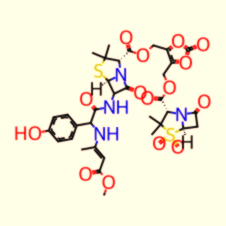 COC(=O)/C=C(\C)NC(C(=O)NC1C(=O)N2[C@@H]1SC(C)(C)[C@@H]2C(=O)OCc1oc(=O)oc1COC(=O)[C@@H]1N2C(=O)C[C@H]2S(=O)(=O)C1(C)C)c1ccc(O)cc1